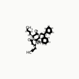 C#CCN1CC(=O)N2[C@H](CN(CC(c3ccccc3)c3ccccc3)C(=O)[C@@H]2CCCC)N1